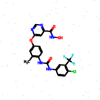 Cc1cc(Oc2cc(C(=O)NO)ncn2)ccc1NC(=O)Nc1ccc(Cl)c(C(F)(F)F)c1